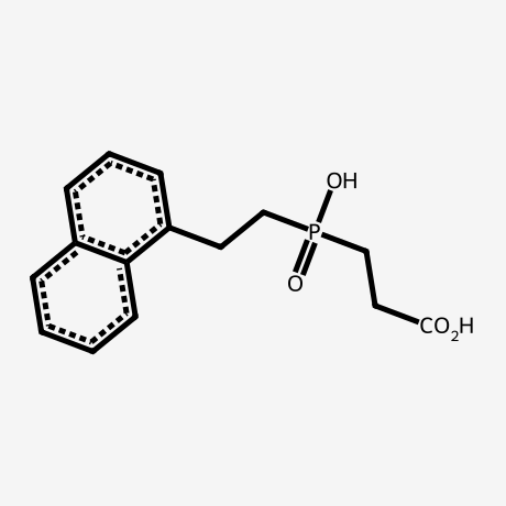 O=C(O)CCP(=O)(O)CCc1cccc2ccccc12